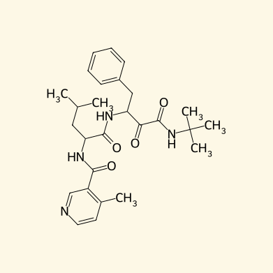 Cc1ccncc1C(=O)NC(CC(C)C)C(=O)NC(Cc1ccccc1)C(=O)C(=O)NC(C)(C)C